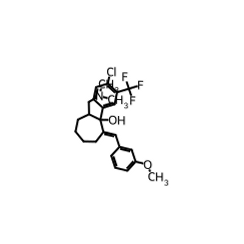 COc1cccc(/C=C2\CCCCC(CN(C)C)C2(O)c2ccc(Cl)c(C(F)(F)F)c2)c1